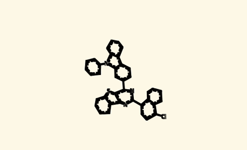 Clc1ccc(-c2nc(-c3ccc4c5ccccc5n(-c5ccccc5)c4c3)c3sc4ccccc4c3n2)c2ccccc12